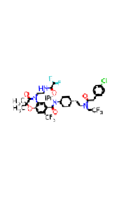 CC(C)N(C(=O)c1cc2c(cc1C(F)(F)F)OC(C)(C)C(=O)N2CCNC(=O)C(F)F)[C@H]1CC[C@@H](CCN(CC(F)(F)F)C(=O)Cc2ccc(Cl)cc2)CC1